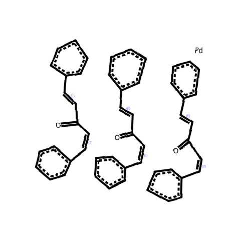 O=C(/C=C\c1ccccc1)/C=C/c1ccccc1.O=C(/C=C\c1ccccc1)/C=C/c1ccccc1.O=C(/C=C\c1ccccc1)/C=C/c1ccccc1.[Pd]